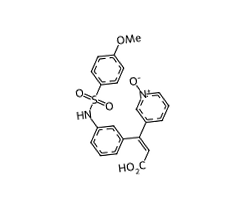 COc1ccc(S(=O)(=O)Nc2cccc(/C(=C\C(=O)O)c3ccc[n+]([O-])c3)c2)cc1